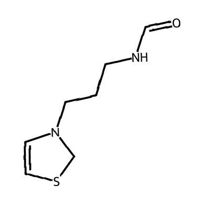 O=CNCCCN1C=CSC1